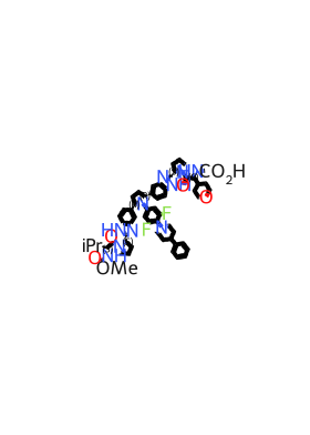 COC(=O)N[C@H](C(=O)N1CCC[C@H]1c1nc2cc([C@H]3CC[C@H](c4ccc5[nH]c([C@@H]6CCCN6C(=O)[C@@H](NC(=O)O)C6CCOCC6)nc5c4)N3c3cc(F)c(N4CCC(c5ccccc5)CC4)c(F)c3)ccc2[nH]1)C(C)C